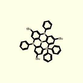 CC(C)(C)c1cc2c3c(c1)N(c1ccccc1)c1cc(C(C)(C)C)cc4c1B3c1c(cc(C(C)(C)C)cc1[Si]4(c1ccccc1)c1ccccc1)N2c1ccccc1